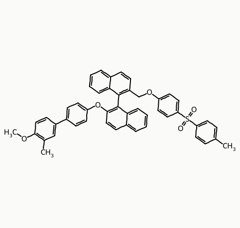 COc1ccc(-c2ccc(Oc3ccc4ccccc4c3-c3c(COc4ccc(S(=O)(=O)c5ccc(C)cc5)cc4)ccc4ccccc34)cc2)cc1C